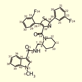 Cn1cc(C(=O)NC[C@@H]2CCCCN2C(=O)c2nc(-c3cccc(F)c3)sc2-c2ccccc2F)c2ccccc21